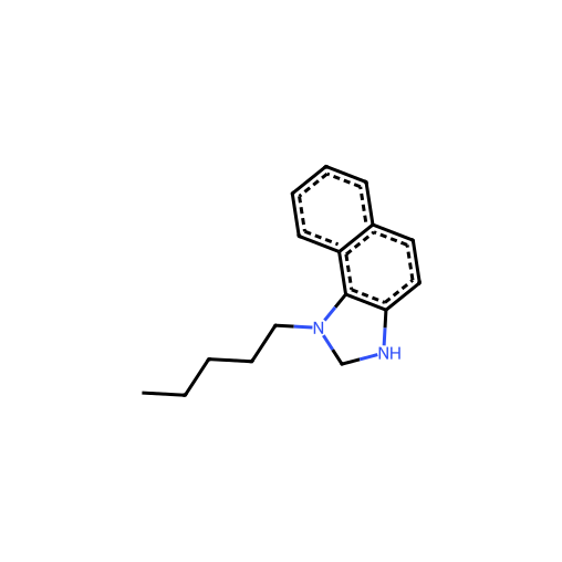 CCCCCN1CNc2ccc3ccccc3c21